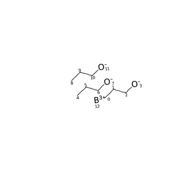 CCC[O-].CCC[O-].CCC[O-].[B+3]